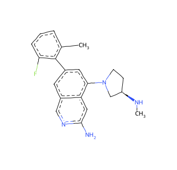 CN[C@@H]1CCN(c2cc(-c3c(C)cccc3F)cc3cnc(N)cc23)C1